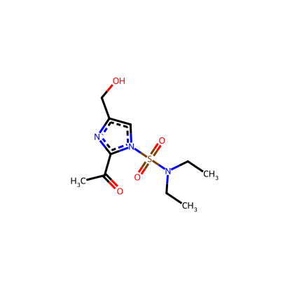 CCN(CC)S(=O)(=O)n1cc(CO)nc1C(C)=O